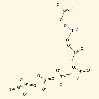 O=[N+]([O-])[O-].O=[N+]([O-])[O-].O=[N+]([O-])[O-].O=[N+]([O-])[O-].O=[N+]([O-])[O-].O=[N+]([O-])[O-].O=[N+]([O-])[O-].[Al+3].[Ti+4]